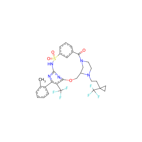 Cc1ccccc1-c1nc2nc(c1C(F)(F)F)OCC1CN(CCN1CCC1(C(F)(F)F)CC1)C(=O)c1cccc(c1)S(=O)(=O)N2